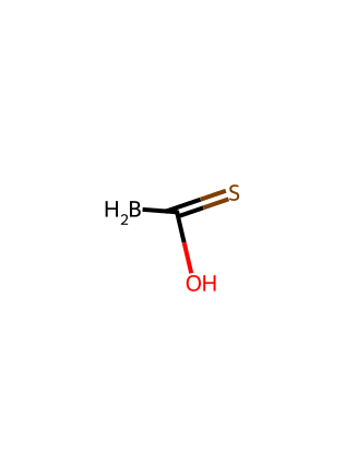 BC(O)=S